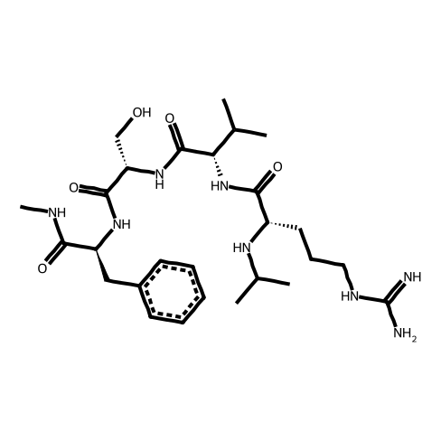 CNC(=O)[C@H](Cc1ccccc1)NC(=O)[C@H](CO)NC(=O)[C@@H](NC(=O)[C@H](CCCNC(=N)N)NC(C)C)C(C)C